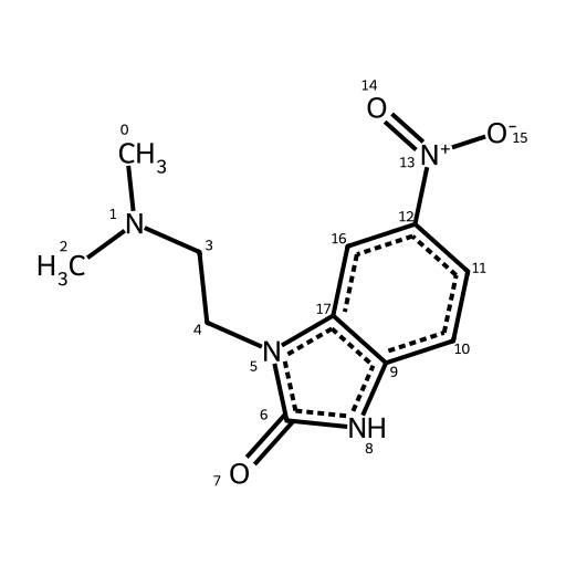 CN(C)CCn1c(=O)[nH]c2ccc([N+](=O)[O-])cc21